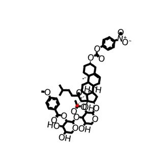 COc1ccc(C(=O)OC2C(OC3C(O)COC(O[C@H]4C[C@H]5[C@@H]6CC=C7C[C@@H](OC(=O)Oc8ccc([N+](=O)[O-])cc8)CC[C@]7(C)C6CC[C@]5(C)[C@@]4(O)[C@H](C)C(=O)CCC(C)C)C3OC(C)=O)OCC(O)C2O)cc1